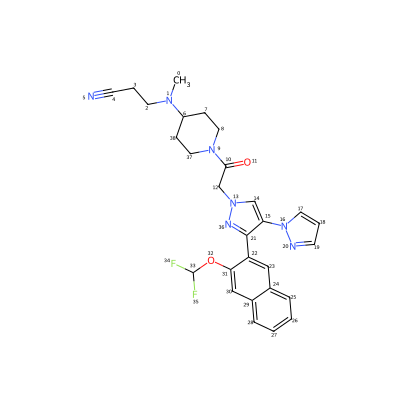 CN(CCC#N)C1CCN(C(=O)Cn2cc(-n3cccn3)c(-c3cc4ccccc4cc3OC(F)F)n2)CC1